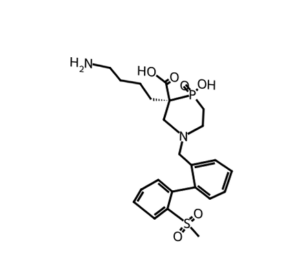 CS(=O)(=O)c1ccccc1-c1ccccc1CN1CCP(=O)(O)[C@](CCCCN)(C(=O)O)C1